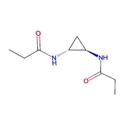 CCC(=O)N[C@@H]1C[C@H]1NC(=O)CC